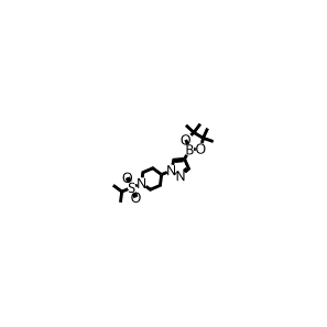 CC(C)S(=O)(=O)N1CCC(n2cc(B3OC(C)(C)C(C)(C)O3)cn2)CC1